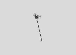 CCCCCCCCCCCCCCCCCCCCCCNc1ccccc1